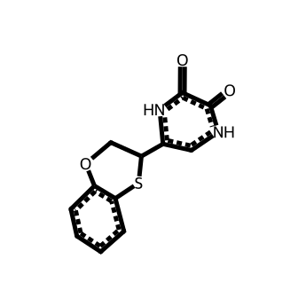 O=c1[nH]cc(C2COc3ccccc3S2)[nH]c1=O